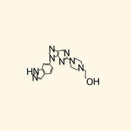 OCCN1CCN(c2ncc3ncn(-c4ccc5cn[nH]c5c4)c3n2)CC1